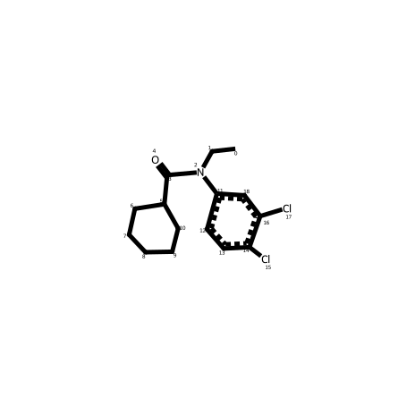 CCN(C(=O)C1CCCCC1)c1ccc(Cl)c(Cl)c1